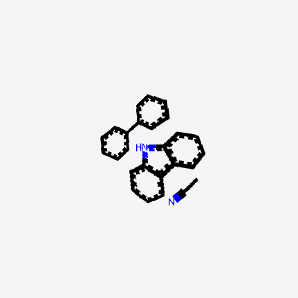 CC#N.c1ccc(-c2ccccc2)cc1.c1ccc2c(c1)[nH]c1ccccc12